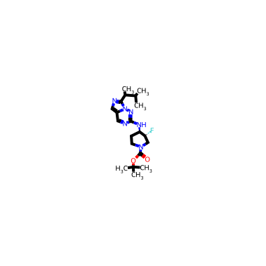 CC(C)C(C)c1ncc2cnc(N[C@@H]3CCN(C(=O)OC(C)(C)C)C[C@H]3F)nn12